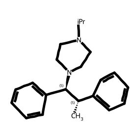 CC(C)N1CCN([C@H](c2ccccc2)[C@@H](C)c2ccccc2)CC1